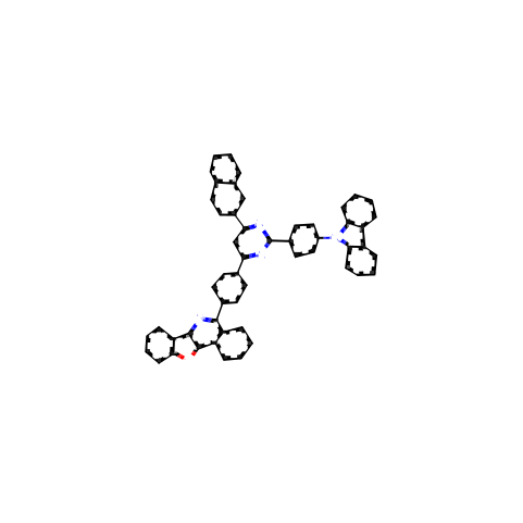 c1ccc2cc(-c3cc(-c4ccc(-c5nc6c7ccccc7oc6c6ccccc56)cc4)nc(-c4ccc(-n5c6ccccc6c6ccccc65)cc4)n3)ccc2c1